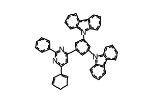 C1=CC(c2cc(-c3cc(-n4c5ccccc5c5ccccc54)cc(-n4c5ccccc5c5ccccc54)c3)nc(-c3ccccc3)n2)=CCC1